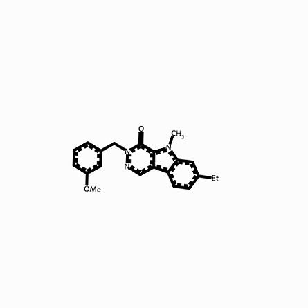 CCc1ccc2c3cnn(Cc4cccc(OC)c4)c(=O)c3n(C)c2c1